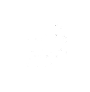 Cc1cnc(Nc2cnn(CC(=O)N3CCOCC3)c2)nc1NCc1cccc(OC(F)F)c1